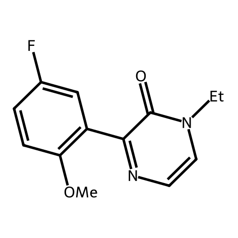 CCn1ccnc(-c2cc(F)ccc2OC)c1=O